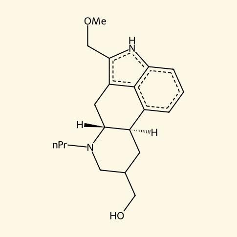 CCCN1CC(CO)C[C@@H]2c3cccc4[nH]c(COC)c(c34)C[C@H]21